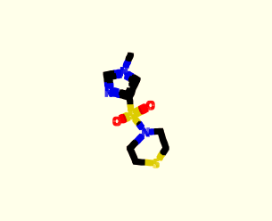 Cn1cnc(S(=O)(=O)N2CCSCC2)c1